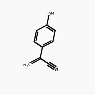 C=C(C#N)c1ccc(O)cc1